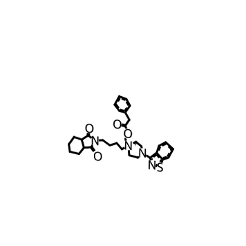 O=C(Cc1ccccc1)OC[N+]1(CCCCN2C(=O)C3CCCCC3C2=O)CCN(c2nsc3ccccc23)CC1